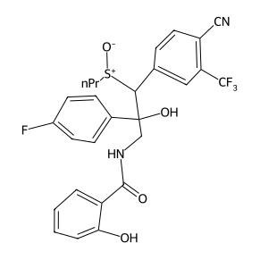 CCC[S+]([O-])C(c1ccc(C#N)c(C(F)(F)F)c1)C(O)(CNC(=O)c1ccccc1O)c1ccc(F)cc1